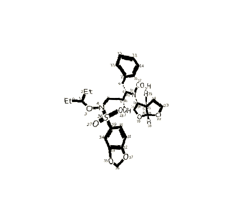 CCC(CC)ON(C[C@@H](O)[C@H](Cc1ccccc1)N(C(=O)O)[C@H]1CO[C@H]2OCC[C@H]21)S(=O)(=O)c1ccc2c(c1)OCO2